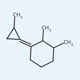 CC1CC1=C1CCCC(C)C1C